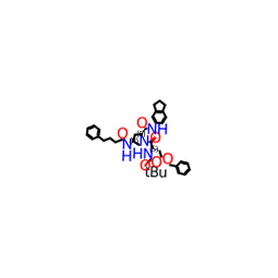 CC(C)(C)OC(=O)N[C@@H](CCOCc1ccccc1)C(=O)N1C[C@H](NC(=O)CCCc2ccccc2)C[C@H]1C(=O)Nc1ccc2c(c1)CCC2